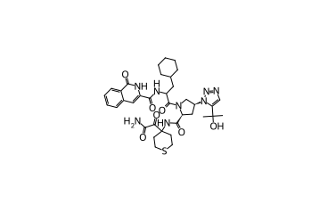 CC(C)(O)c1cnnn1[C@H]1C[C@@H](C(=O)NC2(C(=O)C(N)=O)CCSCC2)N(C(=O)C(CC2CCCCC2)NC(=O)c2cc3ccccc3c(=O)[nH]2)C1